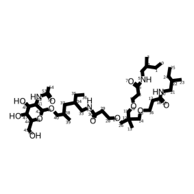 CCC(C)CNC(=O)CCOCC(C)(COCCC(=O)NCC(C)CC)COCCC(=O)NCC(CC)CC(C)COC1OC(CO)C(O)C(O)C1NC(C)=O